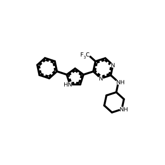 FC(F)(F)c1cnc(NC2CCCNC2)nc1-c1c[nH]c(-c2ccccc2)c1